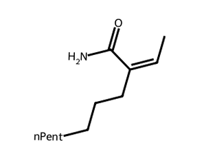 C/C=C(/CCCCCCCC)C(N)=O